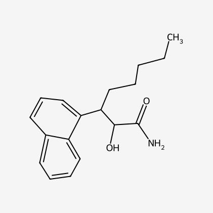 CCCCCC(c1cccc2ccccc12)C(O)C(N)=O